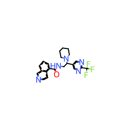 O=C(NCC(c1cnc(C(F)(F)F)nc1)N1CCCCC1)c1cccc2cnccc12